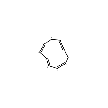 [CH]1\C=C/C=C/C=C\C/C=C/1